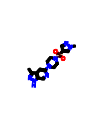 Cc1n[nH]c2cnc(N3CCN(S(=O)(=O)c4cnn(C)c4)CC3)cc12